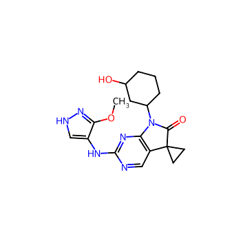 COc1n[nH]cc1Nc1ncc2c(n1)N(C1CCCC(O)C1)C(=O)C21CC1